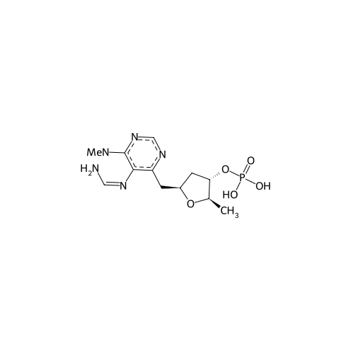 CNc1ncnc(C[C@H]2C[C@H](OP(=O)(O)O)[C@@H](C)O2)c1/N=C\N